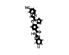 N#Cc1ccc2nc(C(=O)N3CCC[C@@H]3c3cccc(C(=O)Nc4nc5c(s4)CNCC5)c3)cn2c1